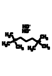 C[P+](C)(C)CCC[P+](C)(C)C.[OH-].[OH-]